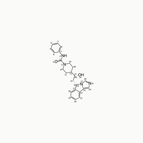 O=C(Nc1ccccc1)N1CCC([C@H](O)C[C@H]2c3ccccc3-c3cncn32)CC1